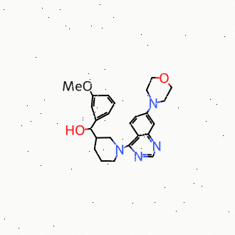 COc1cccc(C(O)C2CCCN(c3ncnc4cc(N5CCOCC5)ccc34)C2)c1